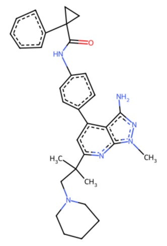 Cn1nc(N)c2c(-c3ccc(NC(=O)C4(c5ccccc5)CC4)cc3)cc(C(C)(C)CN3CCCCC3)nc21